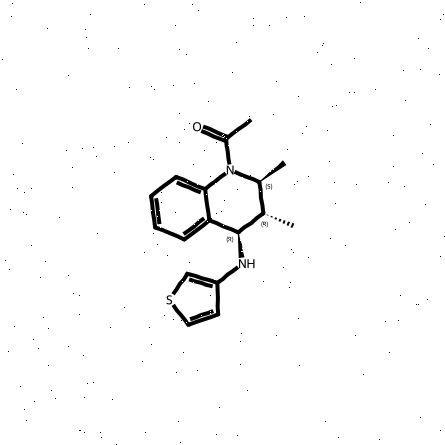 CC(=O)N1c2ccccc2[C@H](Nc2ccsc2)[C@@H](C)[C@@H]1C